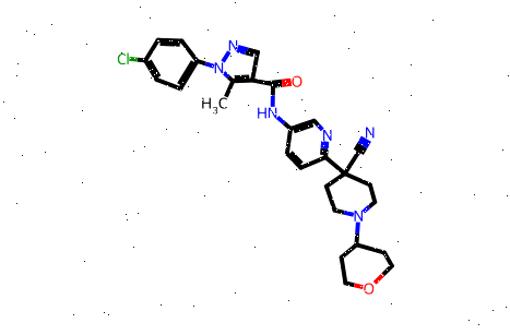 Cc1c(C(=O)Nc2ccc(C3(C#N)CCN(C4CCOCC4)CC3)nc2)cnn1-c1ccc(Cl)cc1